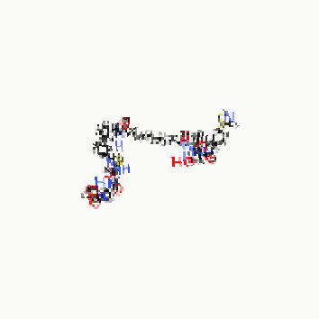 Cc1ncsc1-c1ccc(CNC(=O)[C@@H]2C[C@@H](O)CN2C(=O)[C@@H](NC(=O)CCCCCCCCCCCC(=O)NCc2cccc(-c3cccc(-c4csc(NC(=O)CNC(=O)c5ccn(S(C)(=O)=O)c5)n4)c3)c2)C(C)(C)C)cc1